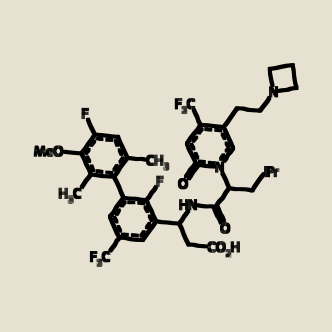 COc1c(F)cc(C)c(-c2cc(C(F)(F)F)cc(C(CC(=O)O)NC(=O)C(CC(C)C)n3cc(CCN4CCC4)c(C(F)(F)F)cc3=O)c2F)c1C